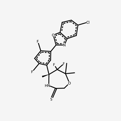 CC1(C)OCC(=S)N[C@](C)(c2cc(-c3nc4cc(Cl)ccc4o3)c(F)cc2F)C1(F)F